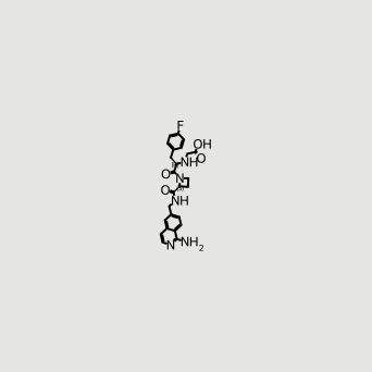 Nc1nccc2cc(CNC(=O)[C@@H]3CCN3C(=O)[C@@H](Cc3ccc(F)cc3)NCC(=O)O)ccc12